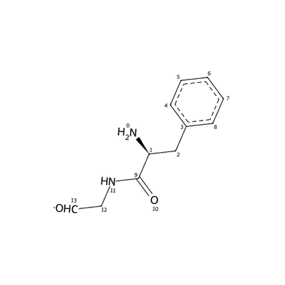 N[C@@H](Cc1ccccc1)C(=O)NC[C]=O